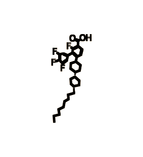 CCCCCCCCC[C@H]1CC[C@H](C2CCC(c3ccc(C(=O)O)c(F)c3-c3cc(F)c(F)c(F)c3)CC2)CC1